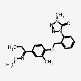 CCC(=NOC)c1ccc(OCc2ccccc2-n2nnn(C)c2=O)c(C)c1